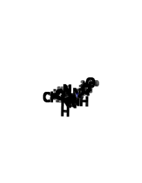 COc1ccc(/C=N/c2[nH]nc(Nc3cccc(Cl)c3)c2C#N)cc1